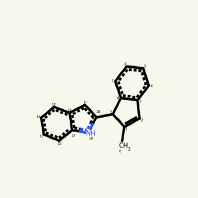 CC1=Cc2ccccc2[C]1c1cc2ccccc2[nH]1